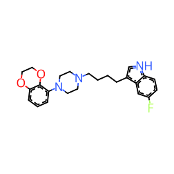 Fc1ccc2[nH]cc(CCCCN3CCN(c4cccc5c4OCCO5)CC3)c2c1